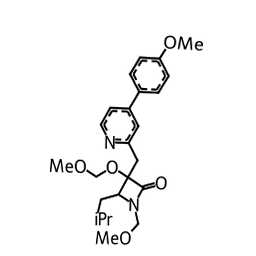 COCOC1(Cc2cc(-c3ccc(OC)cc3)ccn2)C(=O)N(COC)C1CC(C)C